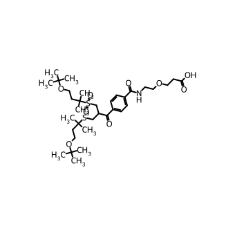 CC(C)(C)OCCC(C)(C)SCC(CS(=O)(=O)C(C)(C)CCOC(C)(C)C)C(=O)c1ccc(C(=O)NCCOCCC(=O)O)cc1